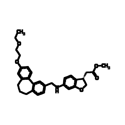 CCOCCOc1ccc2c(c1)CCCc1ccc(CNc3ccc4c(c3)OC[C@H]4CC(=O)OC)cc1-2